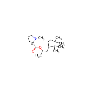 CC(CC1CCC(C)(C)C1(C)C)OC(=O)[C@@H]1CCCN1C